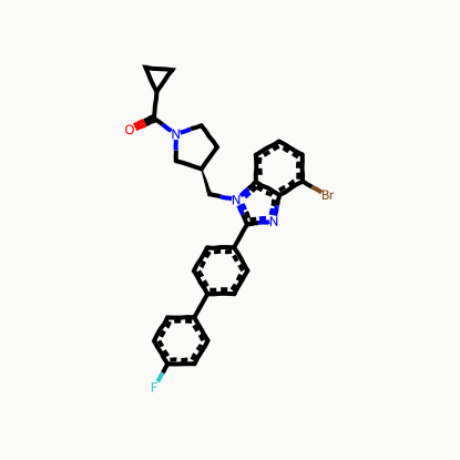 O=C(C1CC1)N1CC[C@@H](Cn2c(-c3ccc(-c4ccc(F)cc4)cc3)nc3c(Br)cccc32)C1